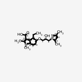 CCc1c(OC[C@H](O)Cn2nc(C)cc2C)ccc2c1c(C(=O)O)c(C)n2C